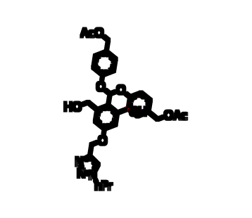 CCCn1cc(COc2cc(CO)c(C(Oc3ccc(COC(C)=O)cc3)Oc3ccc(COC(C)=O)cc3)c(CO)c2)nn1